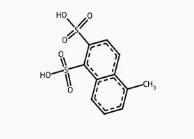 Cc1cccc2c(S(=O)(=O)O)c(S(=O)(=O)O)ccc12